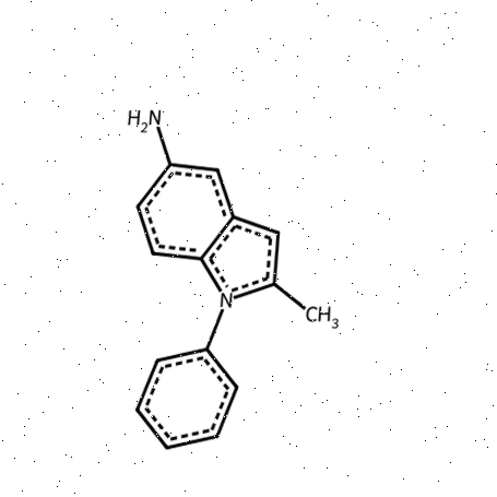 Cc1cc2cc(N)ccc2n1-c1ccccc1